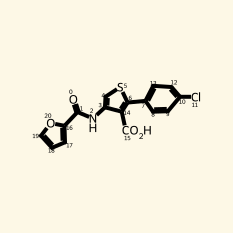 O=C(Nc1csc(-c2ccc(Cl)cc2)c1C(=O)O)c1ccco1